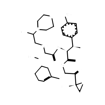 COc1ccc([C@@H](O)[C@H](NC(=O)[C@H](CO)NCC(C=O)N2CCOCC2)C(=O)N[C@@H](CC2=CCCCC2)C(=O)[C@@]2(C)CO2)cc1